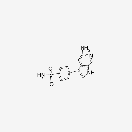 CNS(=O)(=O)c1ccc(-c2c[nH]c3cnc(N)cc23)cc1